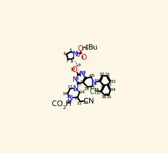 CC(C)(C)OC(=O)N1CCC[C@H]1COc1nc2c(c(N3CCN(C(=O)O)C(CC#N)C3)n1)CCN(c1cccc3cccc(Cl)c13)C2